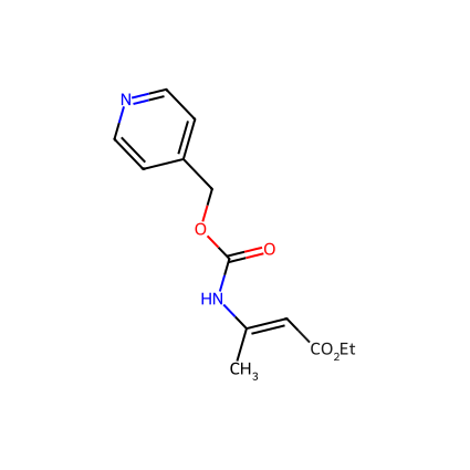 CCOC(=O)C=C(C)NC(=O)OCc1ccncc1